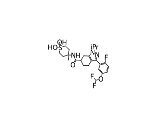 CC(C)n1nc(-c2cc(OC(F)F)ccc2F)c2c1CC(C(=O)NC1(C)CCS(O)(O)CC1)CC2